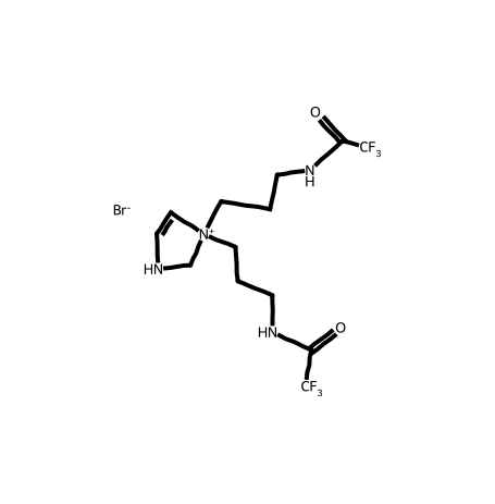 O=C(NCCC[N+]1(CCCNC(=O)C(F)(F)F)C=CNC1)C(F)(F)F.[Br-]